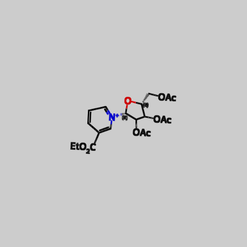 CCOC(=O)c1ccc[n+]([C@@H]2O[C@H](COC(C)=O)C(OC(C)=O)C2OC(C)=O)c1